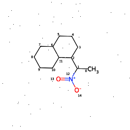 CC(C1CCCC2CCCCC21)[N+](=O)[O-]